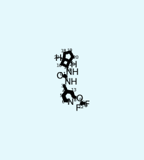 O=C(NCc1ccnc(OC(F)F)c1)N[C@H]1C[C@H]2CCC[C@H]21